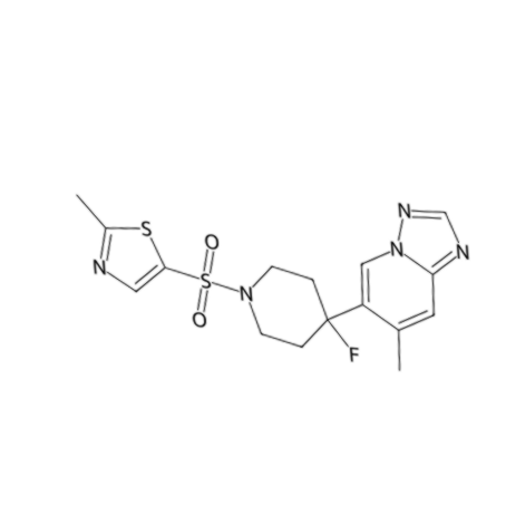 Cc1ncc(S(=O)(=O)N2CCC(F)(c3cn4ncnc4cc3C)CC2)s1